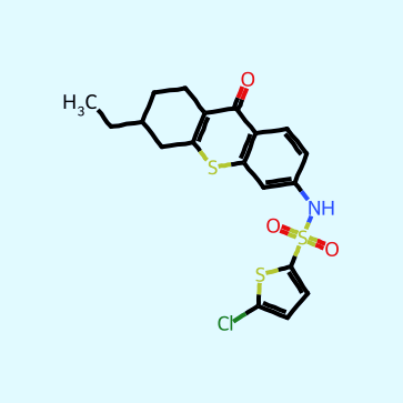 CCC1CCc2c(sc3cc(NS(=O)(=O)c4ccc(Cl)s4)ccc3c2=O)C1